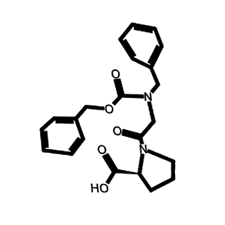 O=C(O)[C@@H]1CCCN1C(=O)CN(Cc1ccccc1)C(=O)OCc1ccccc1